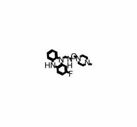 CN1CCN(ONCN2c3ccccc3Nc3ccc(F)cc32)CC1